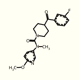 COc1ccc(N(C)C(=O)N2CCC(C(=O)c3cccc(F)c3)CC2)cn1